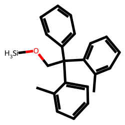 Cc1ccccc1C(CO[SiH3])(c1ccccc1)c1ccccc1C